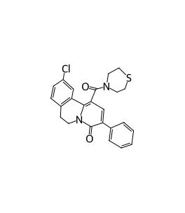 O=C(c1cc(-c2ccccc2)c(=O)n2c1-c1cc(Cl)ccc1CC2)N1CCSCC1